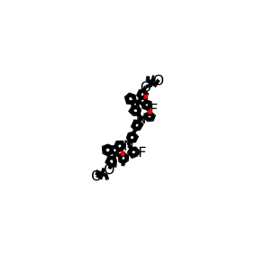 CCC1(COc2ccc(C3(c4cc(C)ccc4C)c4ccccc4-c4ccc(N(c5ccc(-c6ccc(N(c7cccc(F)c7)c7ccc8c(c7)C(c7ccc(OCC9(CC)COC9)cc7)(c7cc(C)ccc7C)c7ccccc7-8)cc6)cc5)c5cccc(F)c5)cc43)cc2)COC1